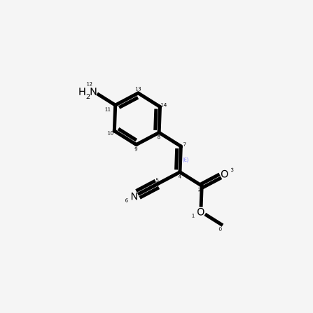 COC(=O)/C(C#N)=C/c1ccc(N)cc1